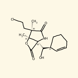 C[C@@]12OC(=O)[C@]1(C(O)[C@@H]1C=CCCC1)NC(=O)[C@]2(C)CCCl